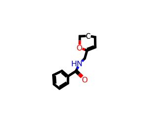 O=C(NCC1=CCCCO1)c1ccccc1